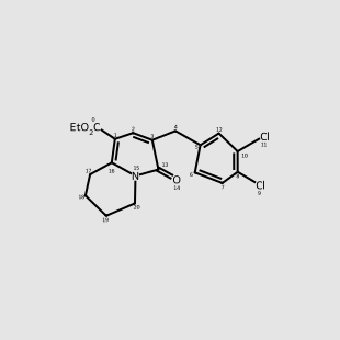 CCOC(=O)c1cc(Cc2ccc(Cl)c(Cl)c2)c(=O)n2c1CCCC2